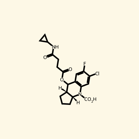 O=C(CCC(=O)OC1c2cc(F)c(Cl)cc2N(C(=O)O)[C@@H]2CCC[C@H]12)NC1CC1